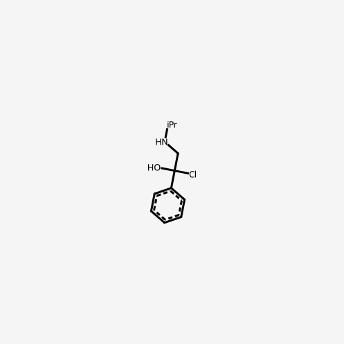 CC(C)NCC(O)(Cl)c1ccccc1